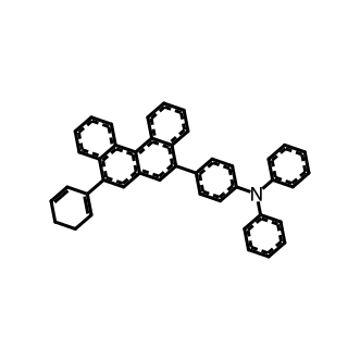 C1=CC(c2cc3cc(-c4ccc(N(c5ccccc5)c5ccccc5)cc4)c4ccccc4c3c3ccccc23)=CCC1